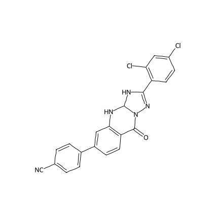 N#Cc1ccc(-c2ccc3c(c2)NC2NC(c4ccc(Cl)cc4Cl)=NN2C3=O)cc1